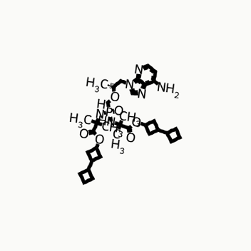 C[C@H](Cn1cnc2c(N)ccnc21)OCP(=O)(NC(C)(C)C(=O)OC1CC(C2CCC2)C1)NC(C)(C)C(=O)OC1CC(C2CCC2)C1